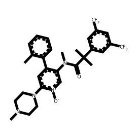 Cc1ccccc1-c1cc(N2CCN(C)CC2)[n+]([O-])cc1N(C)C(=O)C(C)(C)c1cc(C(F)(F)F)cc(C(F)(F)F)c1